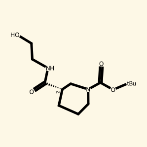 CC(C)(C)OC(=O)N1CCC[C@H](C(=O)NCCO)C1